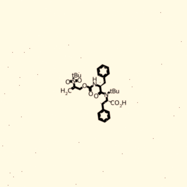 C=C(COC(=O)N[C@@H](Cc1ccccc1)C(=O)N([C@@H](Cc1ccccc1)C(=O)O)C(C)(C)C)S(=O)(=O)C(C)(C)C